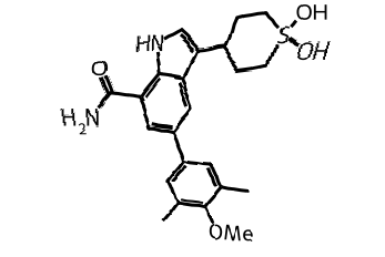 COc1c(C)cc(-c2cc(C(N)=O)c3[nH]cc(C4CCS(O)(O)CC4)c3c2)cc1C